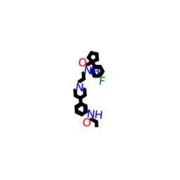 CCC(=O)Nc1cccc(C2CCN(CCCNC(=O)C3(c4ccc(F)cc4)CCCC3)CC2)c1